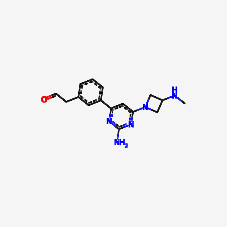 CNC1CN(c2cc(-c3cccc(CC=O)c3)nc(N)n2)C1